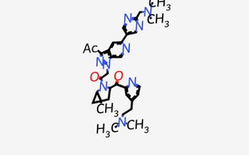 CC(=O)c1nn(CC(=O)N2C(C(=O)c3cc(CCN(C)C)ccn3)CC3(C)CC23)c2cnc(-c3cnc(CN(C)C)nc3)cc12